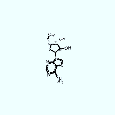 Nc1ncnc2c1ncn2C1S[C@H](CO)[C@H](O)[C@H]1O